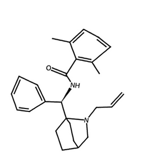 C=CCN1CC2CCC1([C@H](NC(=O)c1c(C)cccc1C)c1ccccc1)CC2